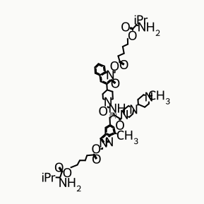 Cc1cc(C[C@@H](NC(=O)N2CCC(c3cc4ccccc4n(COC(=O)CCCCCOC(=O)C(N)C(C)C)c3=O)CC2)C(=O)N2CCN(C3CCN(C)CC3)CC2)cc2cn(COC(=O)CCCCCOC(=O)C(N)C(C)C)nc12